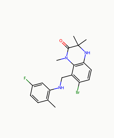 Cc1ccc(F)cc1NCc1c(Br)ccc2c1N(C)C(=O)C(C)(C)N2